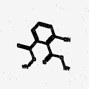 CCCOC(=O)c1cccc(O)c1C(=O)OCCC